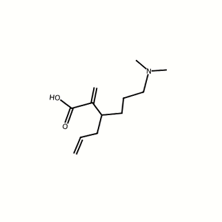 C=CCC(CCCN(C)C)C(=C)C(=O)O